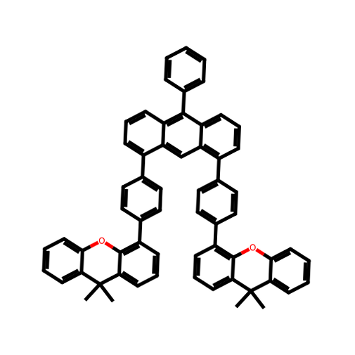 CC1(C)c2ccccc2Oc2c(-c3ccc(-c4cccc5c(-c6ccccc6)c6cccc(-c7ccc(-c8cccc9c8Oc8ccccc8C9(C)C)cc7)c6cc45)cc3)cccc21